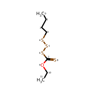 CCCCSSSC(=S)OCC